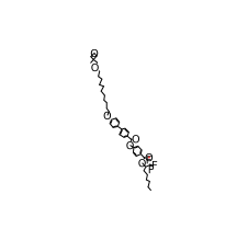 CCCCCCC(OC(=O)c1ccc(OC(=O)c2ccc(-c3ccc(OCCCCCCCCCCCOCC4(C)COC4)cc3)cc2)cc1)C(F)(F)F